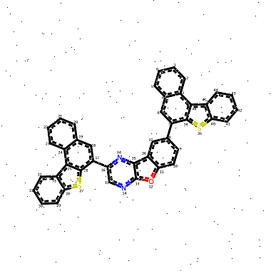 c1ccc2c(c1)cc(-c1ccc3oc4ncc(-c5cc6ccccc6c6c5sc5ccccc56)nc4c3c1)c1sc3ccccc3c12